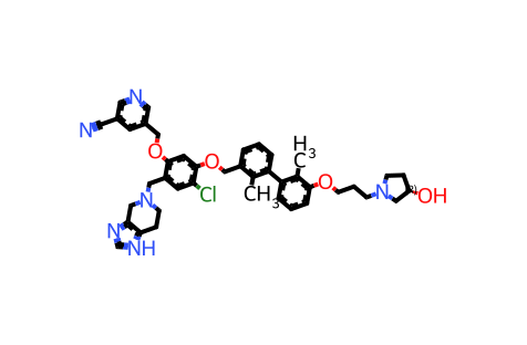 Cc1c(COc2cc(OCc3cncc(C#N)c3)c(CN3CCc4[nH]cnc4C3)cc2Cl)cccc1-c1cccc(OCCCN2CC[C@@H](O)C2)c1C